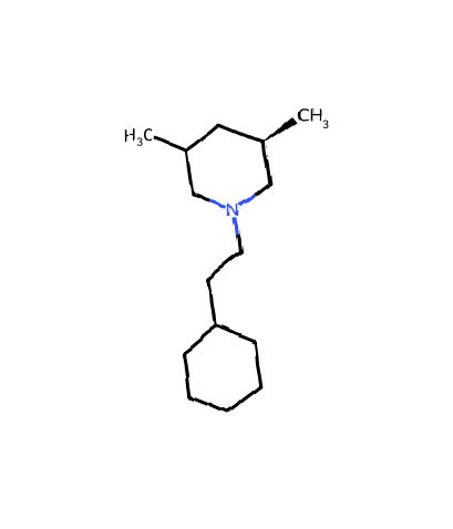 CC1C[C@@H](C)CN(CCC2CCCCC2)C1